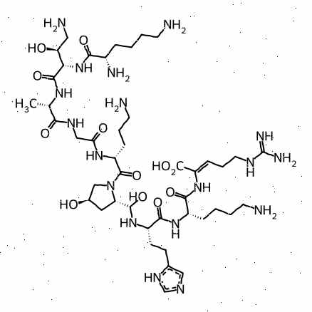 C[C@H](NC(=O)[C@@H](NC(=O)[C@@H](N)CCCCN)[C@@H](O)CN)C(=O)NCC(=O)N[C@H](CCCN)C(=O)N1C[C@H](O)C[C@H]1C(O)N[C@@H](CCc1cnc[nH]1)C(=O)N[C@@H](CCCCN)C(=O)N/C(=C\CCNC(=N)N)C(=O)O